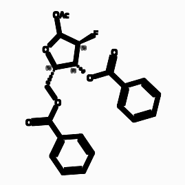 CC(=O)OC1O[C@@H](COC(=O)c2ccccc2)[C@@H](OC(=O)c2ccccc2)[C@@H]1F